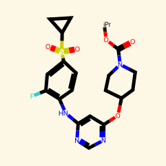 CC(C)OC(=O)N1CCC(Oc2cc(Nc3ccc(S(=O)(=O)C4CC4)cc3F)ncn2)CC1